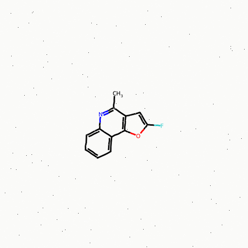 Cc1nc2ccccc2c2oc(F)cc12